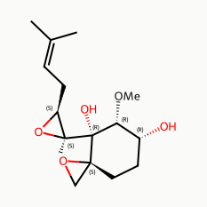 CO[C@@H]1[C@H](O)CC[C@]2(CO2)[C@@]1(O)[C@@]1(C)O[C@H]1CC=C(C)C